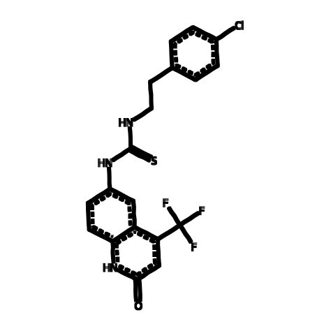 O=c1cc(C(F)(F)F)c2cc(NC(=S)NCCc3ccc(Cl)cc3)ccc2[nH]1